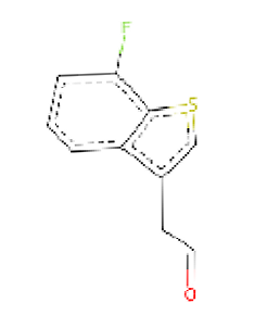 O=CCc1csc2c(F)cccc12